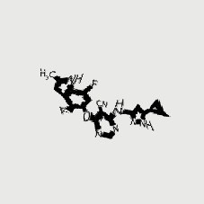 Cc1cc2c(F)c(Oc3ncnc(Nc4cc(C5CC5)[nH]n4)c3C#N)cc(F)c2[nH]1